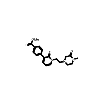 COC(=O)c1ccc(-c2cccn(CCN3CCN(C)C(=O)C3)c2=O)cc1